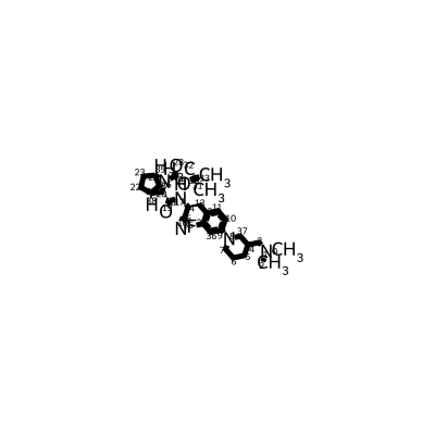 CN(C)CC1CCCN(c2ccc(C[C@@H](C#N)NC(=O)[C@@H]3[C@H]4CC[C@H](C4)N3C(=O)OC(C)(C)C)c(F)c2)C1